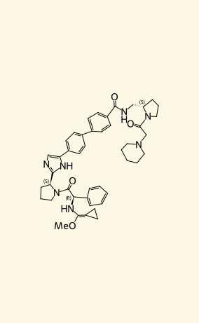 COC(N[C@@H](C(=O)N1CCC[C@H]1c1ncc(-c2ccc(-c3ccc(C(=O)NC[C@@H]4CCCN4C(=O)CN4CCCCC4)cc3)cc2)[nH]1)c1ccccc1)=C1CC1